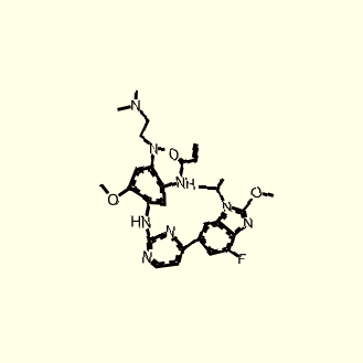 C=CC(=O)Nc1cc(Nc2nccc(-c3cc(F)c4nc(OC)n(C(C)C)c4c3)n2)c(OC)cc1N(C)CCN(C)C